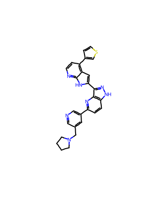 c1cc(-c2ccsc2)c2cc(-c3n[nH]c4ccc(-c5cncc(CN6CCCC6)c5)nc34)[nH]c2n1